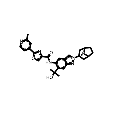 Cc1cc(-c2nc(C(=O)Nc3cc4cn(C5CC6CCC(C5)N6C)nc4cc3C(C)(C)O)co2)ccn1